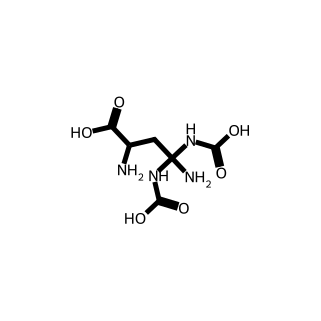 NC(CC(N)(NC(=O)O)NC(=O)O)C(=O)O